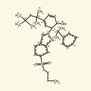 CCCCS(=O)(=O)c1ccc2nn([C@@]3(C(C)(C)c4ccccc4)C=C(C(C)(C)CC(C)(C)C)C=CC3O)nc2c1